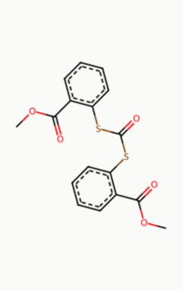 COC(=O)c1ccccc1SC(=O)Sc1ccccc1C(=O)OC